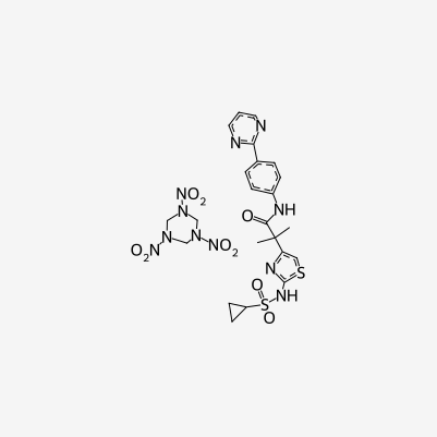 CC(C)(C(=O)Nc1ccc(-c2ncccn2)cc1)c1csc(NS(=O)(=O)C2CC2)n1.O=[N+]([O-])N1CN([N+](=O)[O-])CN([N+](=O)[O-])C1